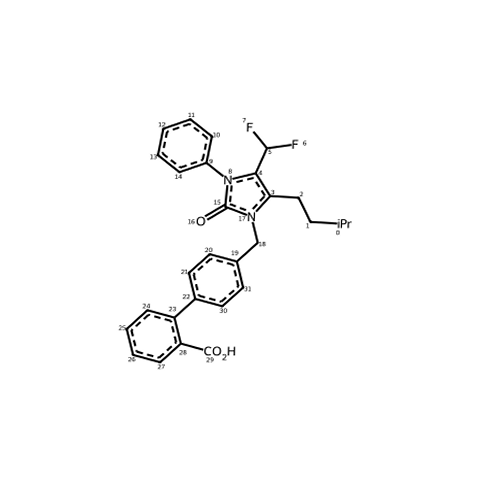 CC(C)CCc1c(C(F)F)n(-c2ccccc2)c(=O)n1Cc1ccc(-c2ccccc2C(=O)O)cc1